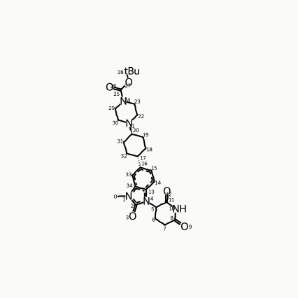 Cn1c(=O)n(C2CCC(=O)NC2=O)c2ccc([C@H]3CC[C@H](N4CCN(C(=O)OC(C)(C)C)CC4)CC3)cc21